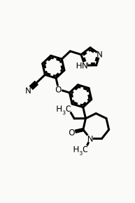 CCC1(c2cccc(Oc3cc(Cc4cnc[nH]4)ccc3C#N)c2)CCCCN(C)C1=O